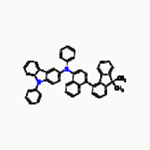 CC1(C)c2ccccc2-c2c(-c3ccc(N(c4ccccc4)c4ccc5c(c4)c4ccccc4n5-c4ccccc4)c4ccccc34)cccc21